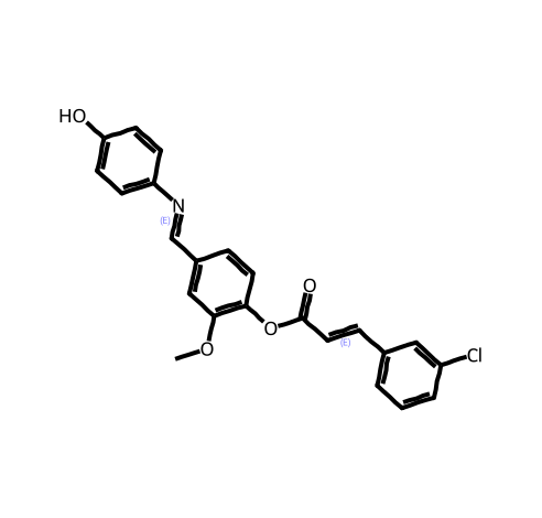 COc1cc(/C=N/c2ccc(O)cc2)ccc1OC(=O)/C=C/c1cccc(Cl)c1